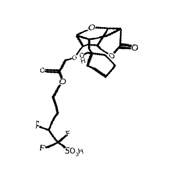 O=C(COC1C2OC(=O)C3C2OC1C3C1(O)CCCC1)OCCC(F)C(F)(F)S(=O)(=O)O